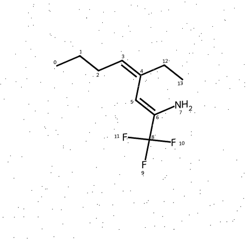 CCC/C=C(\C=C(/N)C(F)(F)F)CC